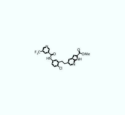 COC(=O)c1cc2cc(CCc3cc(NC(=O)c4cncc(C(F)(F)F)c4)ccc3Cl)cnc2[nH]1